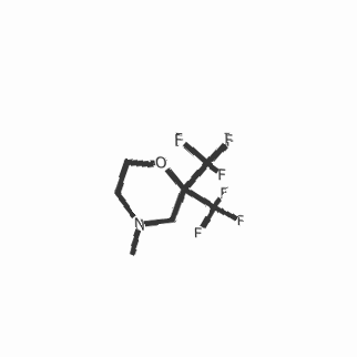 CN1CCOC(C(F)(F)F)(C(F)(F)F)C1